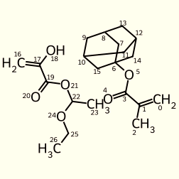 C=C(C)C(=O)OC12CC3CC(CC(C3)C1)C2.C=C(O)C(=O)OC(C)OCC